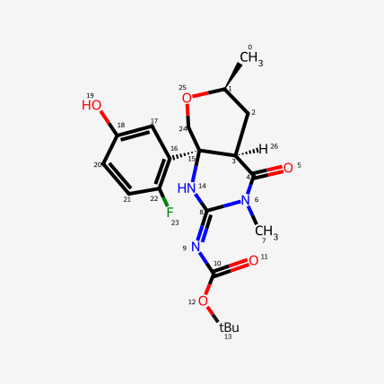 C[C@H]1C[C@H]2C(=O)N(C)/C(=N\C(=O)OC(C)(C)C)N[C@@]2(c2cc(O)ccc2F)CO1